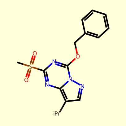 CC(C)c1cnn2c(OCc3ccccc3)nc(S(C)(=O)=O)nc12